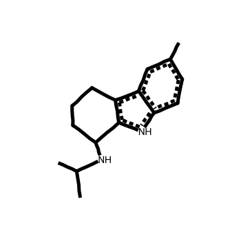 Cc1ccc2[nH]c3c(c2c1)CCCC3NC(C)C